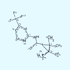 CC1(C)C(C(=O)Nc2cc(C(F)(F)F)ccn2)C1(C)C